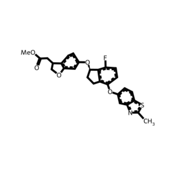 COC(=O)CC1COc2cc(O[C@@H]3CCc4c(Oc5ccc6sc(C)nc6c5)ccc(F)c43)ccc21